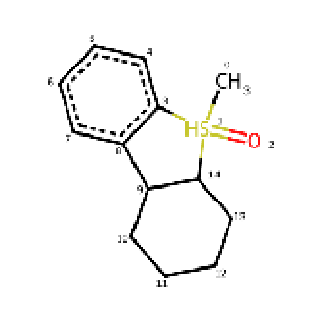 C[SH]1(=O)c2ccccc2C2CCCCC21